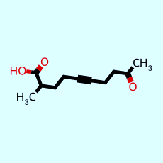 CC(=O)CCC#CCCC(C)C(=O)O